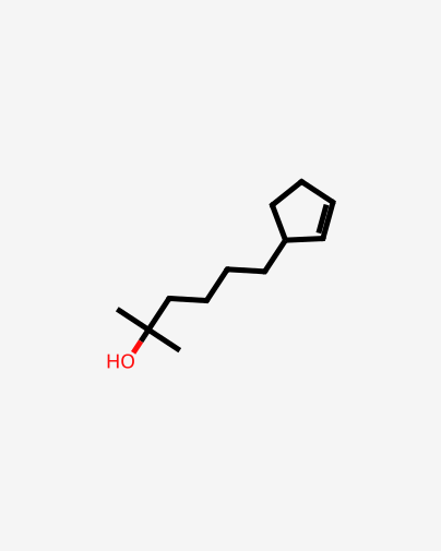 CC(C)(O)CCCCC1C=CCC1